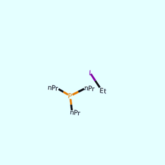 CCCP(CCC)CCC.CCI